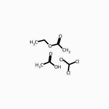 CC(=O)O.CCOC(C)=O.ClC(Cl)Cl